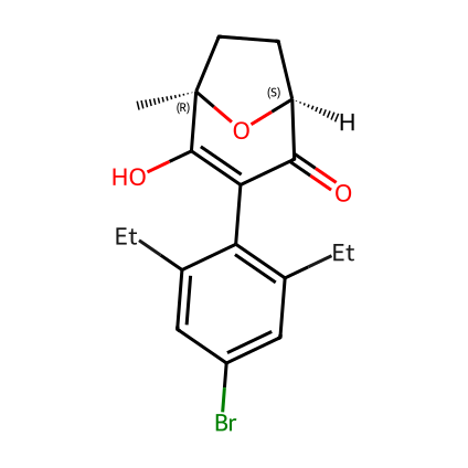 CCc1cc(Br)cc(CC)c1C1=C(O)[C@@]2(C)CC[C@H](O2)C1=O